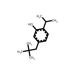 CC(C)c1ccc(CC(C)(C)C)cc1O